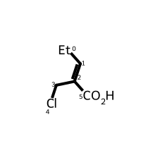 CCC=C(CCl)C(=O)O